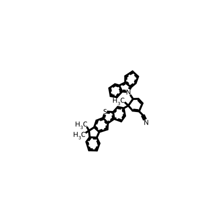 CC1(C)c2ccccc2-c2cc3c(cc21)sc1cc(C2(C)C=C(C#N)C=CC2n2c4ccccc4c4ccccc42)ccc13